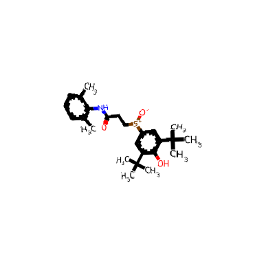 Cc1cccc(C)c1NC(=O)CC[S+]([O-])c1cc(C(C)(C)C)c(O)c(C(C)(C)C)c1